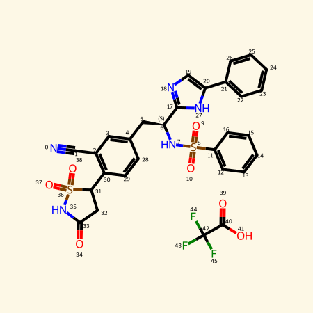 N#Cc1cc(C[C@H](NS(=O)(=O)c2ccccc2)c2ncc(-c3ccccc3)[nH]2)ccc1C1CC(=O)NS1(=O)=O.O=C(O)C(F)(F)F